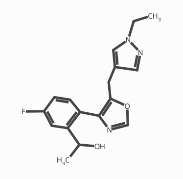 CCn1cc(Cc2ocnc2-c2ccc(F)cc2C(C)O)cn1